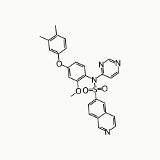 COc1cc(Oc2ccc(C)c(C)c2)ccc1N(c1ccncn1)S(=O)(=O)c1ccc2cnccc2c1